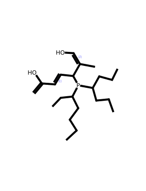 C=C(O)/C=C/C(/C(C)=C\O)P(C(CC)CCCC)C(CCC)CCC